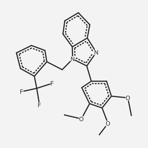 COc1cc(-c2nc3ccccc3n2Cc2ccccc2C(F)(F)F)cc(OC)c1OC